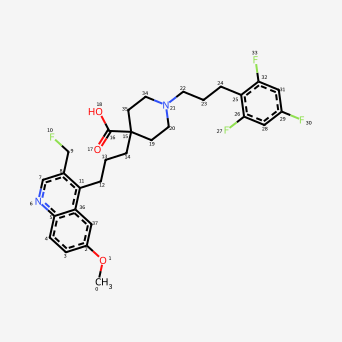 COc1ccc2ncc(CF)c(CCCC3(C(=O)O)CCN(CCCc4c(F)cc(F)cc4F)CC3)c2c1